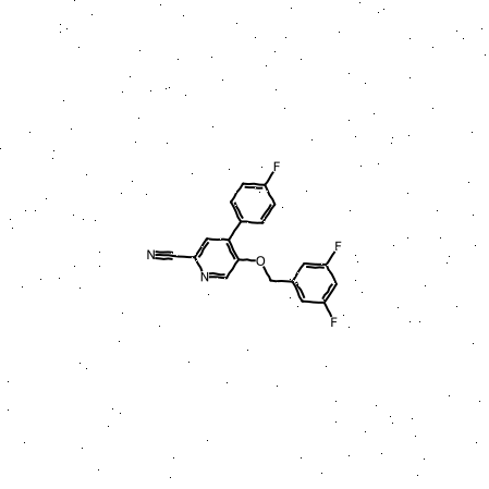 N#Cc1cc(-c2ccc(F)cc2)c(OCc2cc(F)cc(F)c2)cn1